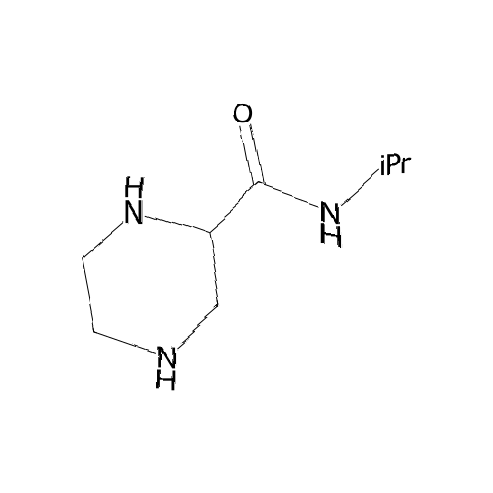 CC(C)NC(=O)C1CNCCN1